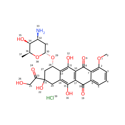 COc1cccc2c1C(=O)c1c(O)c3c(c(O)c1C2=O)CC(O)(C(=O)CO)C[C@@H]3O[C@H]1C[C@H](N)[C@H](O)[C@H](C)O1.Cl